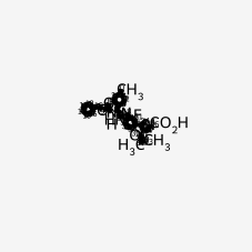 CC1CCC([C@H](NC(=O)OCc2ccccc2)c2nc3c(F)c([C@H]4CN(C(=O)O)C[C@H]4C(=O)N(C)C)ccc3[nH]2)CC1